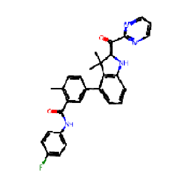 Cc1ccc(-c2cccc3c2C(C)(C)C(C(=O)c2ncccn2)N3)cc1C(=O)Nc1ccc(F)cc1